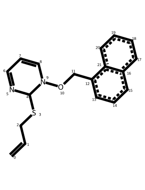 C=CCSC1N=CC=CN1OCc1cccc2ccccc12